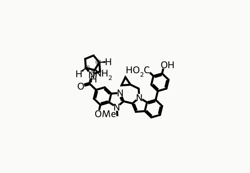 COc1cc(C(=O)N2C[C@H]3CC[C@@H]2[C@@H]3N)cc2nc(-c3cc4cccc(-c5ccc(O)c(C(=O)O)c5)c4n3CC3CC3)n(C)c12